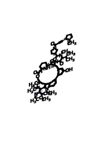 C=C/C(=C(\N=C/C)[C@H](C)OC)c1c2c3cc(ccc3n1CC)-c1cc(O)cc(c1)C[C@H](NC(=O)[C@H](C(C)C)N(C)C(=O)[C@H]1CCN(C(=O)C#C[C@@H]3CCCN3C)C1)C(=O)N1CCC[C@H](N1)C(=O)OCC(C)(C)C2